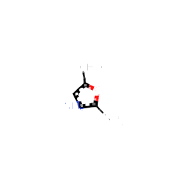 N.O=Cc1ccc([N+](=O)[O-])o1